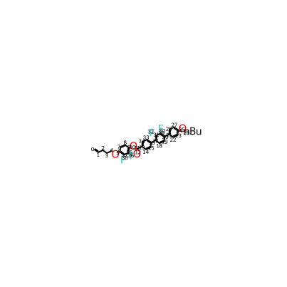 C=CCCCOc1ccc(OC(=O)c2ccc(-c3ccc(-c4ccc(OCCCC)cc4)c(F)c3F)cc2)c(F)c1F